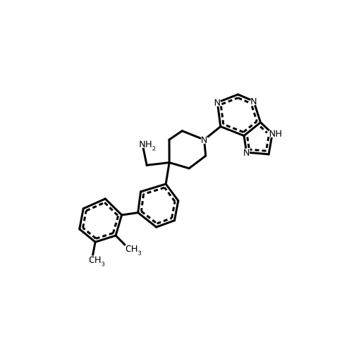 Cc1cccc(-c2cccc(C3(CN)CCN(c4ncnc5[nH]cnc45)CC3)c2)c1C